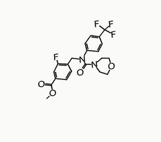 COC(=O)c1ccc(CN(C(=O)N2CCOCC2)c2ccc(C(F)(F)F)cc2)c(F)c1